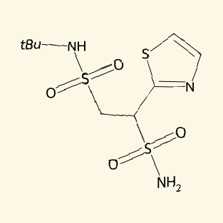 CC(C)(C)NS(=O)(=O)CC(c1nccs1)S(N)(=O)=O